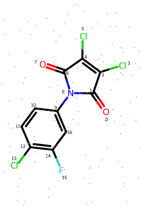 O=C1C(Cl)=C(Cl)C(=O)N1c1ccc(Cl)c(F)c1